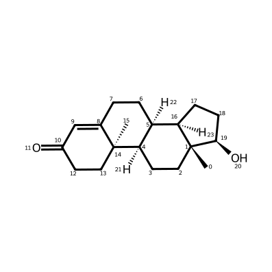 C[C@@]12CC[C@@H]3[C@@H](CCC4=CC(=O)CC[C@@]43C)[C@H]1CC[C@H]2O